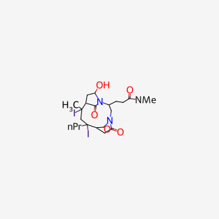 CCCC1(I)CC(C)(I)C2CC(O)N(C2=O)C(CCC(=O)NC)CN2C(=O)CC1C2=O